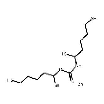 O=C(NC(S)CCCCS)OC(S)CCCCS.[Zn]